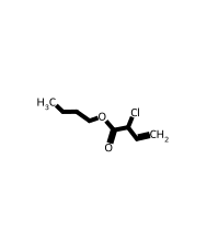 C=CC(Cl)C(=O)OCCCC